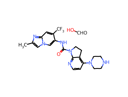 Cc1cn2cc(NC(=O)N3CCc4c(N5CCNCC5)ccnc43)c(C(F)(F)F)cc2n1.O=CO